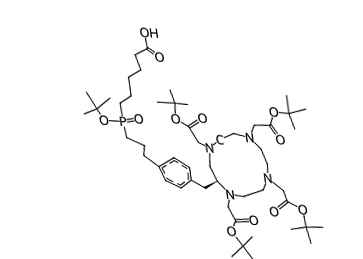 CC(C)(C)OC(=O)CN1CCN(CC(=O)OC(C)(C)C)CCN(CC(=O)OC(C)(C)C)[C@@H](Cc2ccc(CCCP(=O)(CCCCCC(=O)O)OC(C)(C)C)cc2)CN(CC(=O)OC(C)(C)C)CC1